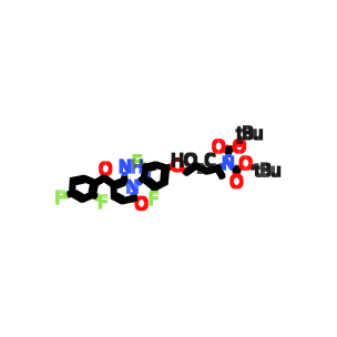 CC(C)(C)OC(=O)N(C(=O)OC(C)(C)C)[C@@](C)(CCCOc1cc(F)c(-n2c(N)c(C(=O)c3ccc(F)cc3F)ccc2=O)c(F)c1)C(=O)O